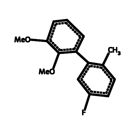 COc1cccc(-c2cc(F)ccc2C)c1OC